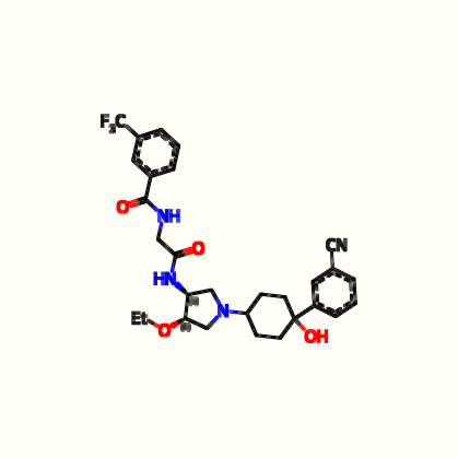 CCO[C@@H]1CN(C2CCC(O)(c3cccc(C#N)c3)CC2)C[C@@H]1NC(=O)CNC(=O)c1cccc(C(F)(F)F)c1